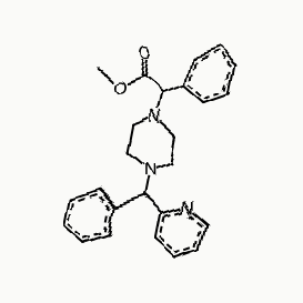 COC(=O)C(c1ccccc1)N1CCN(C(c2ccccc2)c2ccccn2)CC1